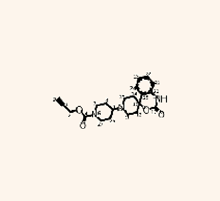 C#CCOC(=O)N1CCC(N2CCC3(CC2)OC(=O)Nc2ccccc23)CC1